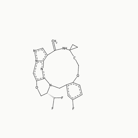 C=C1NC2(CCOc3ccc(F)cc3CN3c4nc5c1cnn5cc4OC[C@H]3C(F)F)CC2